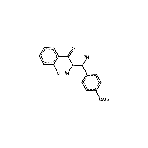 [2H]C(C(=O)c1ccccc1Cl)C([2H])c1ccc(OC)cc1